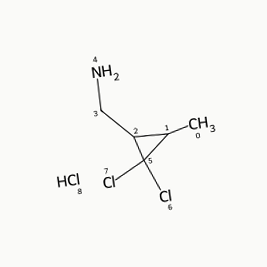 CC1C(CN)C1(Cl)Cl.Cl